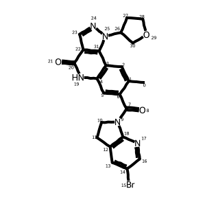 Cc1cc2c(cc1C(=O)N1CCc3cc(Br)cnc31)[nH]c(=O)c1cnn(C3CCOC3)c12